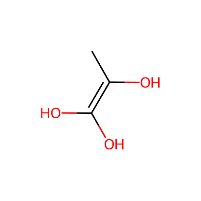 CC(O)=C(O)O